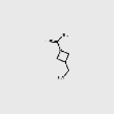 N=C(N)N1CC(CN)C1